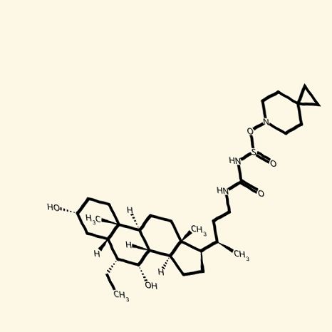 CC[C@H]1[C@@H](O)[C@@H]2[C@H](CC[C@]3(C)[C@@H]([C@H](C)CCNC(=O)NS(=O)ON4CCC5(CC4)CC5)CC[C@@H]23)[C@@]2(C)CC[C@@H](O)C[C@@H]12